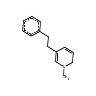 CN1C=C(CCc2ccccc2)C=CC1